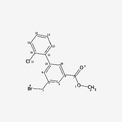 COC(=O)c1cc(CBr)cc(-c2ccccc2Cl)c1